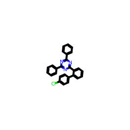 Clc1ccc(-c2ccccc2-c2nc(-c3ccccc3)nc(-c3ccccc3)n2)cc1